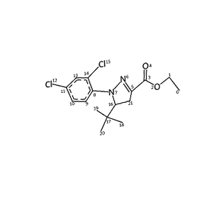 CCOC(=O)C1=NN(c2ccc(Cl)cc2Cl)C(C(C)(C)C)C1